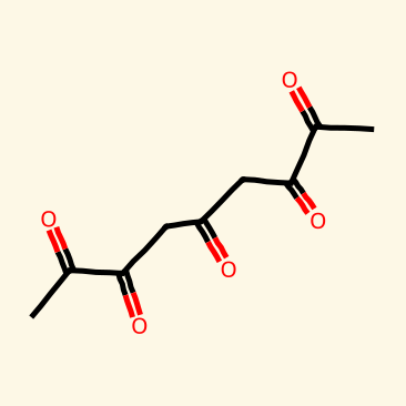 CC(=O)C(=O)CC(=O)CC(=O)C(C)=O